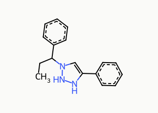 CCC(c1ccccc1)N1C=C(c2ccccc2)NN1